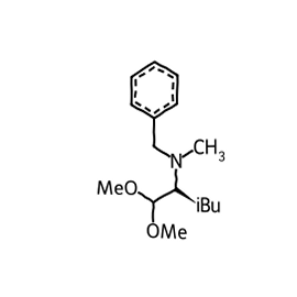 CC[C@H](C)C(C(OC)OC)N(C)Cc1ccccc1